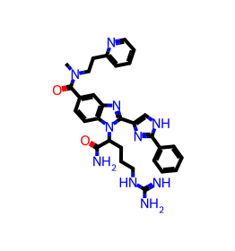 CN(CCc1ccccn1)C(=O)c1ccc2c(c1)nc(-c1c[nH]c(-c3ccccc3)n1)n2C(CCCNC(=N)N)C(N)=O